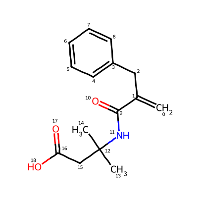 C=C(Cc1ccccc1)C(=O)NC(C)(C)CC(=O)O